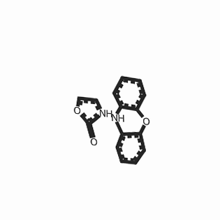 O=c1[nH]cco1.c1ccc2c(c1)Nc1ccccc1O2